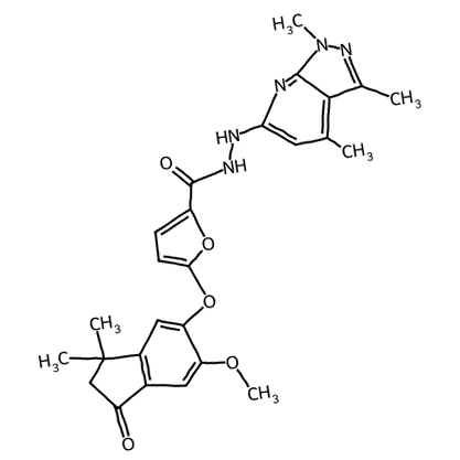 COc1cc2c(cc1Oc1ccc(C(=O)NNc3cc(C)c4c(C)nn(C)c4n3)o1)C(C)(C)CC2=O